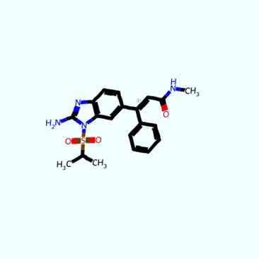 CNC(=O)/C=C(\c1ccccc1)c1ccc2nc(N)n(S(=O)(=O)C(C)C)c2c1